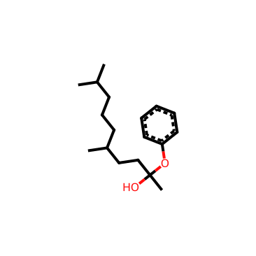 CC(C)CCCC(C)CCC(C)(O)Oc1ccccc1